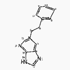 [c]1nc2cc(CCc3ccccc3)cnc2[nH]1